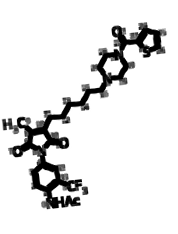 CC(=O)Nc1ccc(N2C(=O)C(C)=C(CCCCCCN3CCN(C(=O)c4cccs4)CC3)C2=O)cc1C(F)(F)F